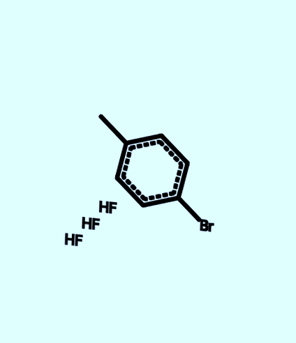 Cc1ccc(Br)cc1.F.F.F